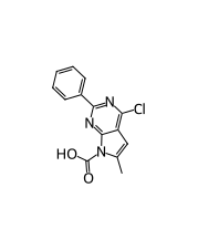 Cc1cc2c(Cl)nc(-c3ccccc3)nc2n1C(=O)O